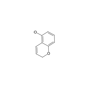 [O]c1cccc2c1C=CCO2